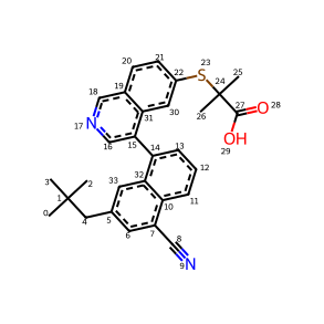 CC(C)(C)Cc1cc(C#N)c2cccc(-c3cncc4ccc(SC(C)(C)C(=O)O)cc34)c2c1